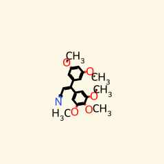 COc1cc(OC)cc(C(=CC#N)c2cc(OC)c(OC)c(OC)c2)c1